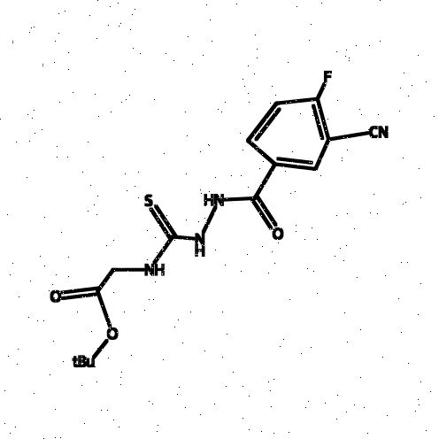 CC(C)(C)OC(=O)CNC(=S)NNC(=O)c1ccc(F)c(C#N)c1